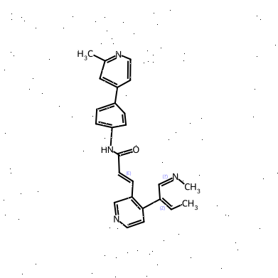 C/C=C(\C=N/C)c1ccncc1/C=C/C(=O)Nc1ccc(-c2ccnc(C)c2)cc1